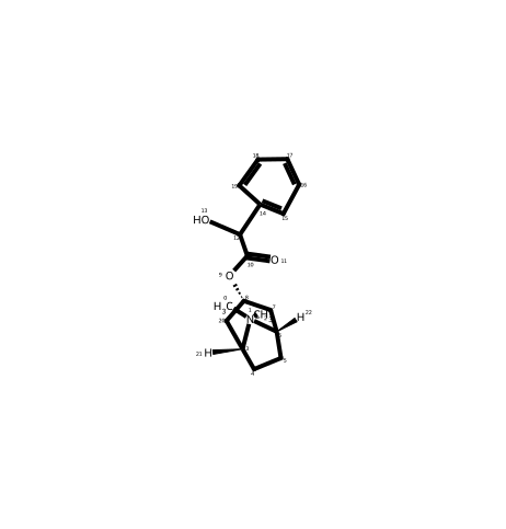 C[N+]1(C)[C@@H]2CC[C@H]1C[C@@H](OC(=O)C(O)c1ccccc1)C2